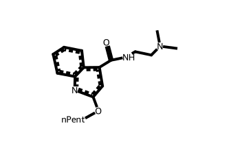 CCCCCOc1cc(C(=O)NCCN(C)C)c2ccccc2n1